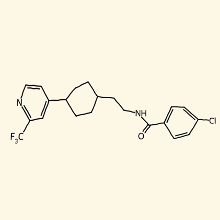 O=C(NCCC1CCC(c2ccnc(C(F)(F)F)c2)CC1)c1ccc(Cl)cc1